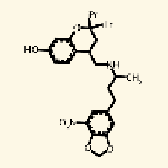 CC(CCc1cc2c(c([N+](=O)[O-])c1)OCO2)NCC1CC(C(C)C)(C(C)C)Oc2cc(O)ccc21